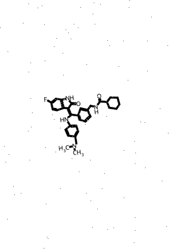 CN(C)Cc1ccc(NC(=C2C(=O)Nc3cc(F)ccc32)c2cccc(CNC(=O)C3CCCCC3)c2)cc1